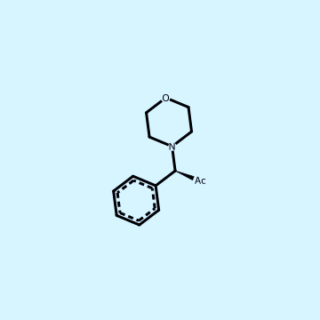 CC(=O)[C@@H](c1ccccc1)N1CCOCC1